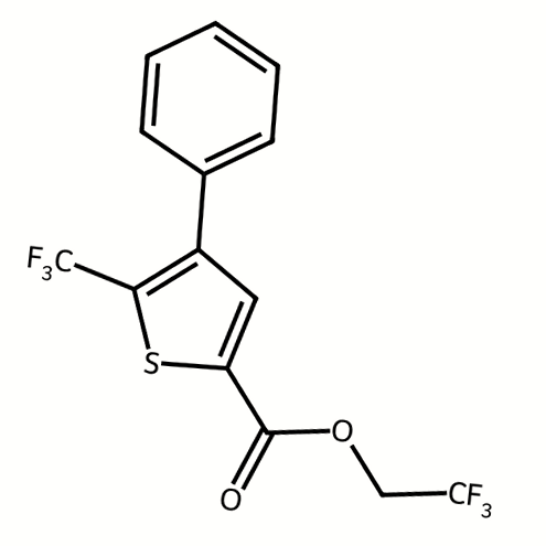 O=C(OCC(F)(F)F)c1cc(-c2ccccc2)c(C(F)(F)F)s1